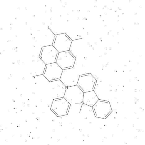 Cc1cc(I)c2ccc3c(C)cc(N(c4ccccc4)c4cccc5c4[Si](C)(C)c4ccccc4-5)c4ccc1c2c34